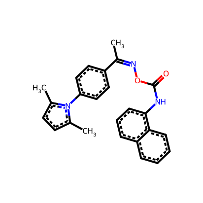 CC(=NOC(=O)Nc1cccc2ccccc12)c1ccc(-n2c(C)ccc2C)cc1